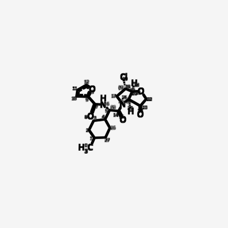 CC1CCC([C@H](NC(=O)c2ccco2)C(=O)N2C[C@H](Cl)[C@H]3OCC(=O)[C@H]32)CC1